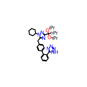 CCCC(OC(C)C)(OC(C)C)c1nc(Cc2ccc(-c3ccccc3-c3nnn[nH]3)cc2)n(C2CCCCC2)n1